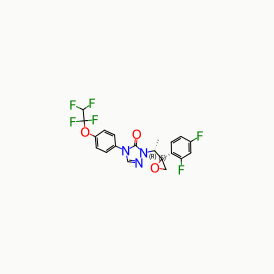 C[C@@H](n1ncn(-c2ccc(OC(F)(F)C(F)F)cc2)c1=O)[C@@]1(c2ccc(F)cc2F)CO1